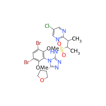 COc1c(Br)cc(Br)c(OC)c1-n1c(NS(=O)(=O)C(C)C(C)c2ncc(Cl)cn2)nnc1[C@H]1CCOC1